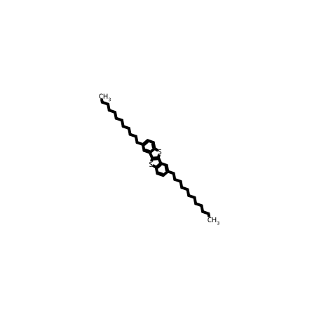 CCCCCCCCCCCCc1ccc2sc3c4cc(CCCCCCCCCCCC)ccc4sc3c2c1